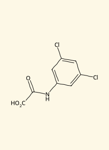 O=C(O)C(=O)Nc1cc(Cl)cc(Cl)c1